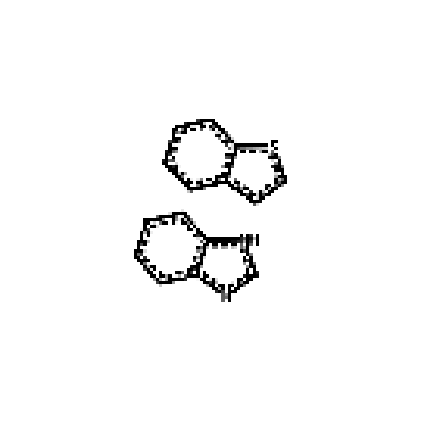 c1ccc2[nH]cnc2c1.c1ccc2sccc2c1